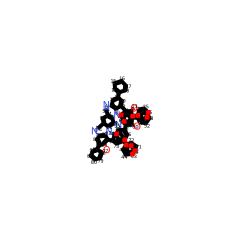 N#Cc1cc(C#N)c(-n2c3ccc(-c4ccccc4)cc3c3c4oc5ccccc5c4ccc32)c(-n2c3ccc(-c4ccccc4)cc3c3c4oc5ccccc5c4ccc32)c1-n1c2ccc(-c3ccccc3)cc2c2c3oc4ccccc4c3ccc21